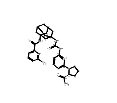 Cc1cccc(C(=O)NC23CC4CC(CC(NC(=O)Oc5cccc(N6CCC[C@H]6C(N)=O)n5)(C4)C2)C3)n1